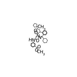 COC(=O)c1cccc(NC(=O)CN2N=C(C3CCCCC3)c3ccccc3C(CC(=O)C3(C)CCCC3)C2=O)c1